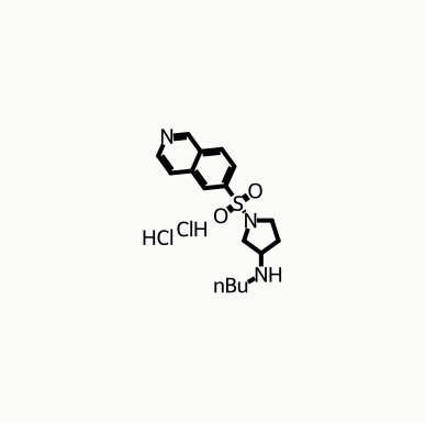 CCCCNC1CCN(S(=O)(=O)c2ccc3cnccc3c2)C1.Cl.Cl